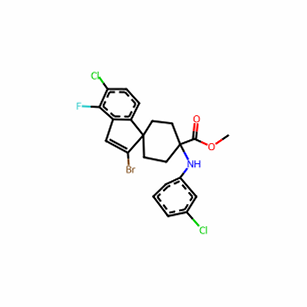 COC(=O)C1(Nc2cccc(Cl)c2)CCC2(CC1)C(Br)=Cc1c2ccc(Cl)c1F